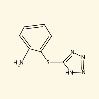 Nc1ccccc1Sc1nnn[nH]1